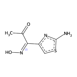 CC(=O)/C(=N\O)c1csc(N)n1